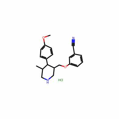 COc1ccc(C2C(C)CNCC2COc2cccc(C#N)c2)cc1.Cl